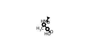 Cc1ccc(NC(=O)C2CC2)cc1-c1ccc(C(=O)O)cc1